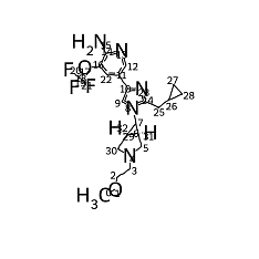 COCCN1C[C@@H]2C(n3cc(-c4cnc(N)c(OC(F)(F)F)c4)nc3CC3CC3)[C@@H]2C1